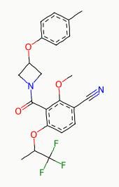 COc1c(C#N)ccc(OC(C)C(F)(F)F)c1C(=O)N1CC(Oc2ccc(C)cc2)C1